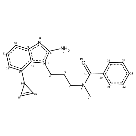 CN(CCCn1c(N)nc2cccc(C3C=C3)c21)C(=O)c1ccccc1